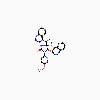 CC(c1ccnc2ccccc12)C1(C(C)c2ccnc3ccccc23)NC(=O)N(c2ccc(OC(F)(F)F)cc2)C1=O